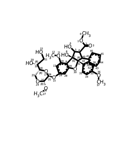 COC(=O)C1C(O)[C@@]2(O)c3c(OC)cc(O[C@@H]4O[C@@H]([C@H](O)CO)CO[C@H]4OC)cc3O[C@@]2(c2ccc(OC)cc2)C1c1ccccc1